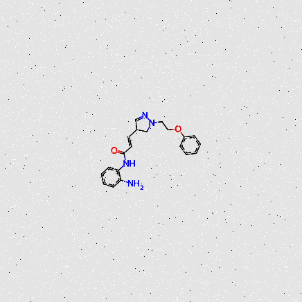 Nc1ccccc1NC(=O)/C=C/C1C=NN(CCOc2ccccc2)C1